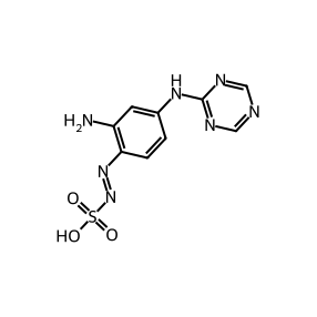 Nc1cc(Nc2ncncn2)ccc1N=NS(=O)(=O)O